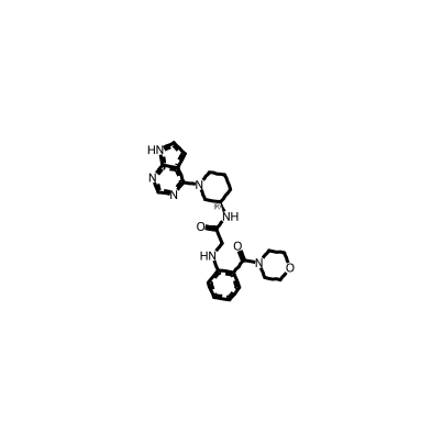 O=C(CNc1ccccc1C(=O)N1CCOCC1)N[C@@H]1CCCN(c2ncnc3[nH]ccc23)C1